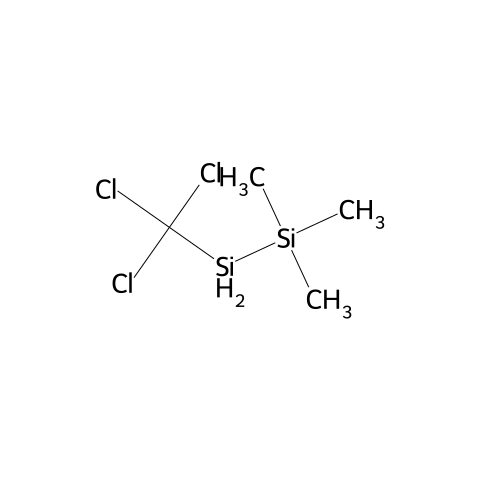 C[Si](C)(C)[SiH2]C(Cl)(Cl)Cl